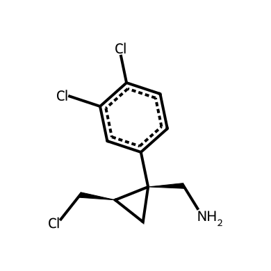 NC[C@@]1(c2ccc(Cl)c(Cl)c2)C[C@H]1CCl